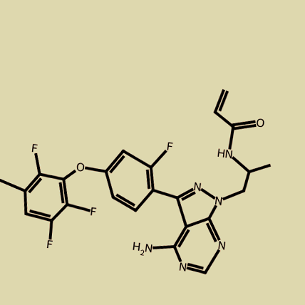 C=CC(=O)NC(C)Cn1nc(-c2ccc(Oc3c(F)c(F)cc(F)c3F)cc2F)c2c(N)ncnc21